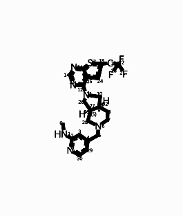 CNc1cc(CN2CC[C@@H]3CN(c4ncnc5sc(CC(F)(F)F)cc45)C[C@@H]3C2)ccn1